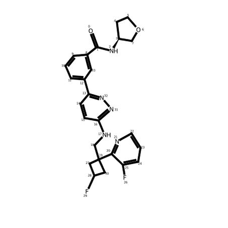 O=C(N[C@H]1CCOC1)c1cccc(-c2ccc(NCC3(c4ncccc4F)CC(F)C3)nn2)c1